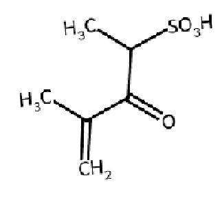 C=C(C)C(=O)C(C)S(=O)(=O)O